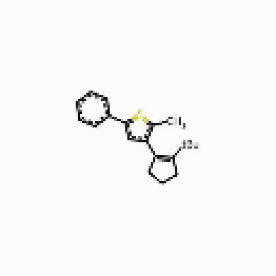 Cc1sc(-c2ccccc2)cc1C1=C(C(C)(C)C)CCC1